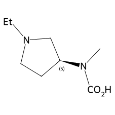 CCN1CC[C@H](N(C)C(=O)O)C1